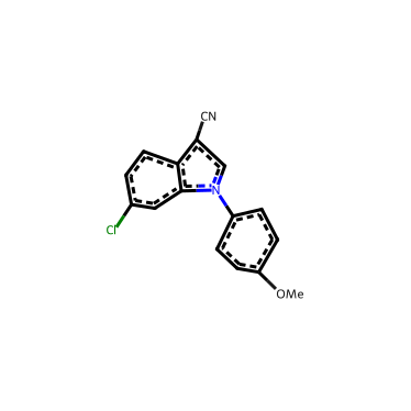 COc1ccc(-n2cc(C#N)c3ccc(Cl)cc32)cc1